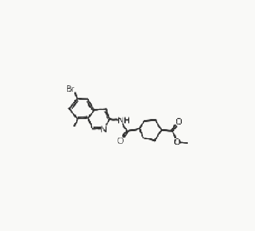 COC(=O)C1CCC(C(=O)Nc2cc3cc(Br)cc(C)c3cn2)CC1